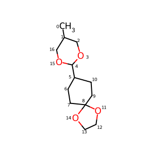 CC1COC(C2CCC3(CC2)OCCO3)OC1